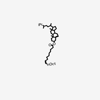 CCCCCCCC/C=C\CCCCCCCC(=O)OC1CCC2(C)C(=CCC3C2CCC2(C)C(C(C)CCC(C)C(C)C)CCC32)C1